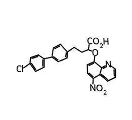 O=C(O)C(CCc1ccc(-c2ccc(Cl)cc2)cc1)Oc1ccc([N+](=O)[O-])c2cccnc12